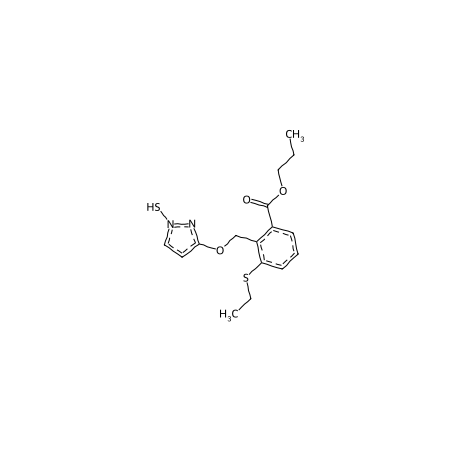 CCCOC(=O)c1cccc(SCC)c1COc1ccn(S)n1